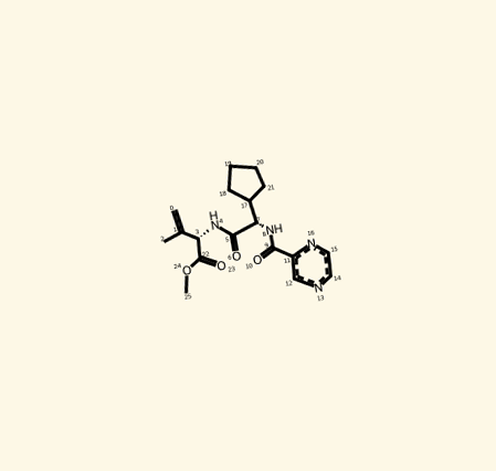 C=C(C)[C@H](NC(=O)[C@@H](NC(=O)c1cnccn1)C1CCCC1)C(=O)OC